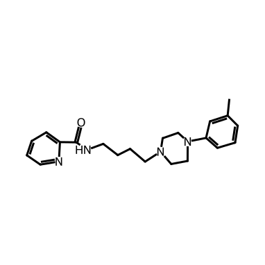 Cc1cccc(N2CCN(CCCCNC(=O)c3ccccn3)CC2)c1